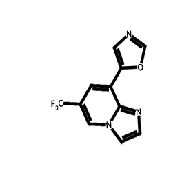 FC(F)(F)c1cc(-c2cnco2)c2nc[c]n2c1